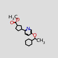 COC(=O)C1CCC(c2ccc(OC(C)C3CCCCC3)cn2)C1